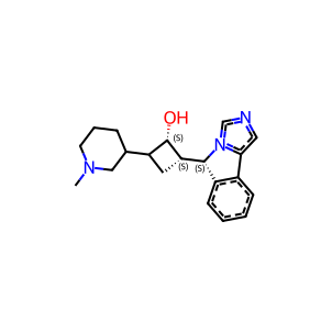 CN1CCCC(C2C[C@@H]([C@H]3c4ccccc4-c4cncn43)[C@H]2O)C1